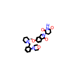 O=C1CCC(N2Cc3cc(OC[C@H]4CCCCN4Cc4ccccc4N4CCOCC4)ccc3C2=O)C(=O)N1